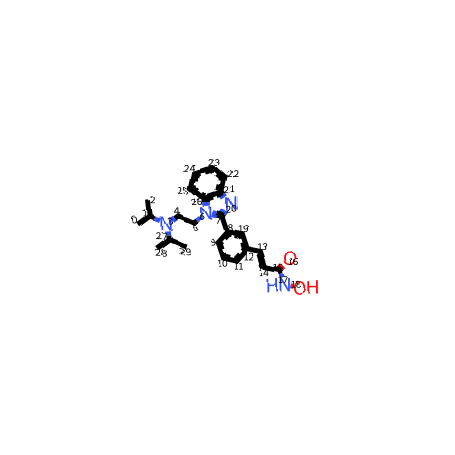 CC(C)N(CCn1c(-c2cccc(/C=C/C(=O)NO)c2)nc2ccccc21)C(C)C